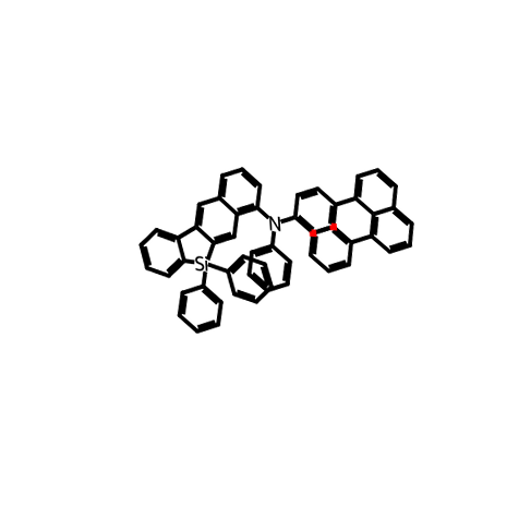 c1ccc(-c2cccc3cccc(-c4ccc(N(c5ccccc5)c5cccc6cc7c(cc56)[Si](c5ccccc5)(c5ccccc5)c5ccccc5-7)cc4)c23)cc1